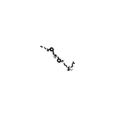 CCOCCNC(=O)c1cccc(OCc2cn(Cc3cccc(C(=O)NCCCC[C@H](NC(=O)[C@@H](C)CC(C)C)C(N)=O)c3)nn2)c1